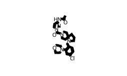 CC(=O)Nc1ccn(C(=O)N2CCC3(CCCN3Cc3ccc(Cl)cc3N3CCOCC3)CC2)n1